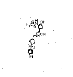 CC(C)c1ccc(S(=O)(=O)N2CCC(CNC[C@H](O)c3ccc(O)c(NS(C)(=O)=O)c3)CC2)cc1